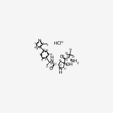 Cc1ncsc1-c1ccc([C@H](C)NC(=O)[C@@H]2C[C@](O)(C(=O)[C@@H](N)C(C)(C)C)CN2)cc1.Cl